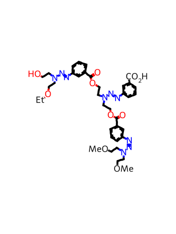 CCOCCN(CCO)/N=N/c1cccc(C(=O)OCCN(CCOC(=O)c2cccc(/N=N\N(CCOC)CCOC)c2)/N=N/c2cccc(C(=O)O)c2)c1